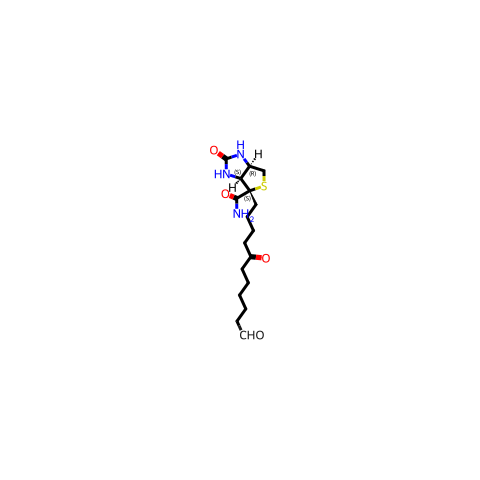 NC(=O)[C@@]1(CCCCC(=O)CCCCCC=O)SC[C@@H]2NC(=O)N[C@@H]21